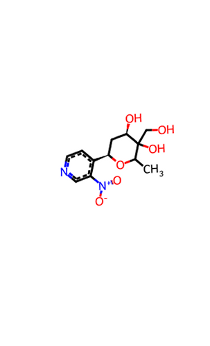 CC1O[C@@H](c2ccncc2[N+](=O)[O-])C[C@@H](O)C1(O)CO